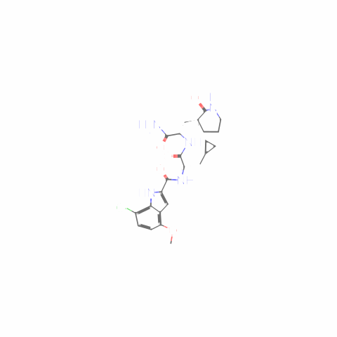 COc1ccc(Cl)c2[nH]c(C(=O)N[C@@H](CC3CC3)C(=O)N[C@@H](C[C@@H]3CCCNC3=O)C(N)=O)cc12